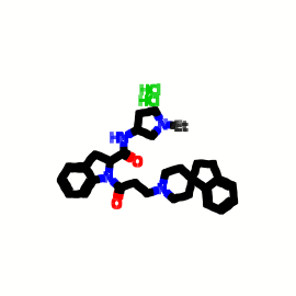 CCN1CCC(NC(=O)C2Cc3ccccc3N2C(=O)CCN2CCC3(CCc4ccccc43)CC2)C1.Cl.Cl